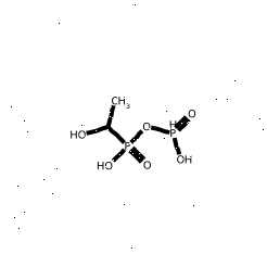 CC(O)P(=O)(O)O[PH](=O)O